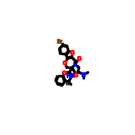 C[C@H](NC(=O)C1(C)COc2c(oc3cc(Br)ccc23)C(=O)N1CC(=O)N(C)C)c1ccccc1